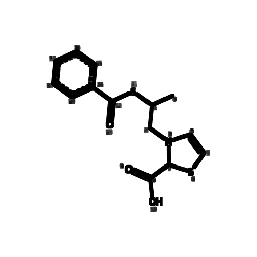 CC(CN1C=CSC1C(=O)O)SC(=O)c1ccccc1